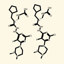 C[C@H]1CN(c2nc(Cl)nc(NNC(=O)[C@@H](CNC(=O)O)CC3CCCC3)c2F)CCN1C.C[C@H]1CN(c2nc(Cl)nc(NNC(=O)[C@@H](CNC(=O)O)CC3CCCC3)c2F)CCN1C